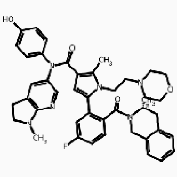 Cc1c(C(=O)N(c2ccc(O)cc2)c2cnc3c(c2)CCN3C)cc(-c2cc(F)ccc2C(=O)N2Cc3ccccc3C[C@H]2C)n1CCN1CCOCC1